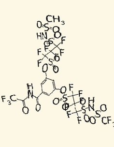 CS(=O)(=O)NS(=O)(=O)C(F)(F)C(F)(F)C(F)(F)S(=O)(=O)Oc1cc(OS(=O)(=O)C(F)(F)C(F)(F)C(F)(F)S(=O)(=O)NS(=O)(=O)C(F)(F)F)cc(C(=O)NC(=O)C(F)(F)F)c1